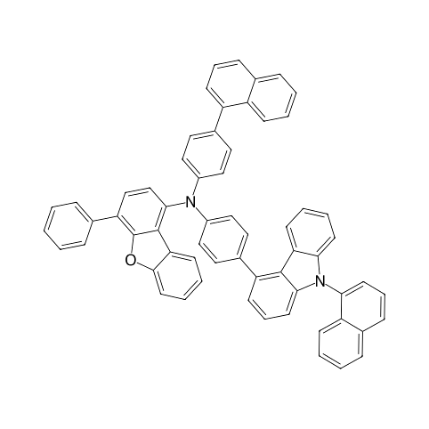 c1ccc(-c2ccc(N(c3ccc(-c4cccc5ccccc45)cc3)c3ccc(-c4cccc5c4c4ccccc4n5-c4cccc5ccccc45)cc3)c3c2oc2ccccc23)cc1